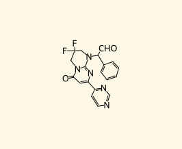 O=CC(c1ccccc1)N1CC(F)(F)Cn2c1nc(-c1ccncn1)cc2=O